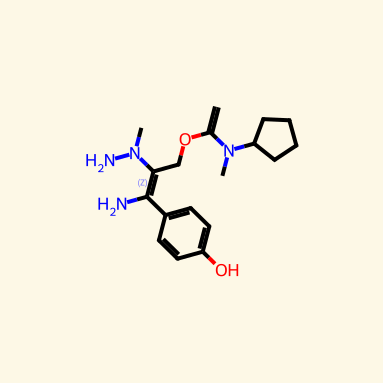 C=C(OC/C(=C(/N)c1ccc(O)cc1)N(C)N)N(C)C1CCCC1